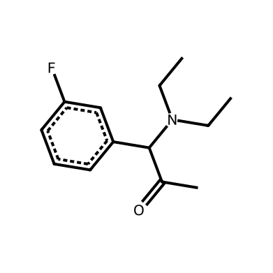 CCN(CC)C(C(C)=O)c1cccc(F)c1